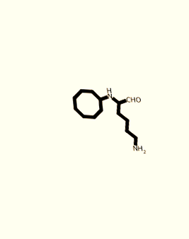 NCCCCC(C=O)NC1CCCCCCC1